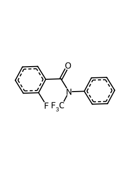 O=C(c1ccccc1F)N(c1ccccc1)C(F)(F)F